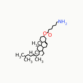 CC(C)CCC[C@@H](C)[C@H]1CCC2C3CC=C4CC(OC(=O)CCCCCN)CC[C@]4(C)C3CC[C@@]21C